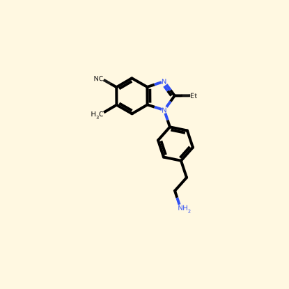 CCc1nc2cc(C#N)c(C)cc2n1-c1ccc(CCN)cc1